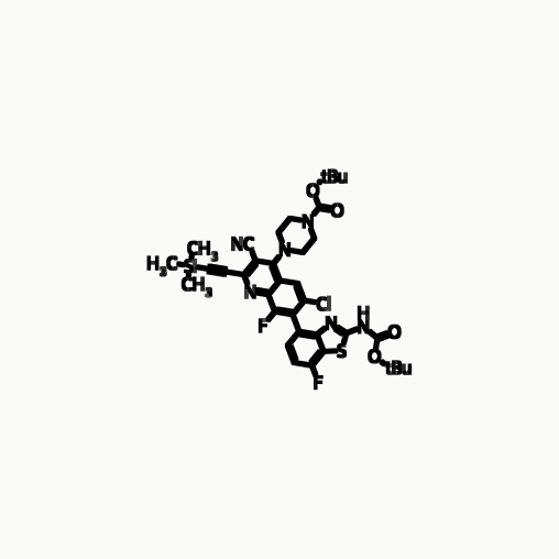 CC(C)(C)OC(=O)Nc1nc2c(-c3c(Cl)cc4c(N5CCN(C(=O)OC(C)(C)C)CC5)c(C#N)c(C#C[Si](C)(C)C)nc4c3F)ccc(F)c2s1